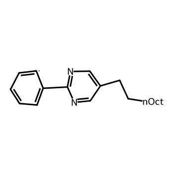 CCCCCCCCCCc1cnc(-c2[c]cccc2)nc1